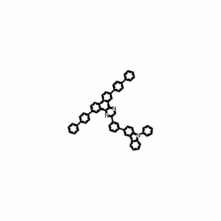 c1ccc(-c2ccc(-c3ccc4c5ccc(-c6ccc(-c7ccccc7)cc6)cc5c5nc(-c6cccc(-c7ccc8c(c7)c7ccccc7n8-c7ccccc7)c6)cnc5c4c3)cc2)cc1